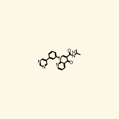 CC(C)NC(=O)c1cn(-c2cccc(-c3cncnc3)c2)c2ncccc2c1=O